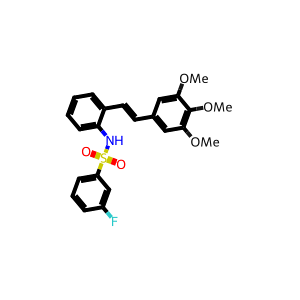 COc1cc(C=Cc2ccccc2NS(=O)(=O)c2cccc(F)c2)cc(OC)c1OC